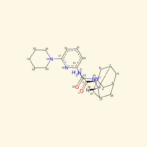 NC(=O)[C@]12CC3CC(C1)[C@@H](NC(=O)c1cccc(N4CCCCC4)n1)C(C3)C2